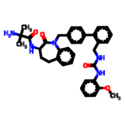 COc1ccccc1NC(=O)NCc1ccccc1-c1ccc(CN2C(=O)[C@H](NC(=O)C(C)(C)N)CCc3ccccc32)cc1